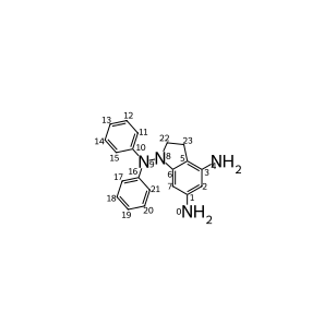 Nc1cc(N)c2c(c1)N(N(c1ccccc1)c1ccccc1)CC2